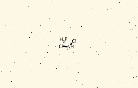 ClNCl.P